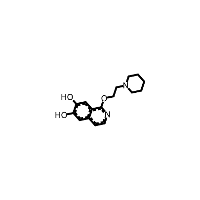 Oc1cc2ccnc(OCCN3CCCCC3)c2cc1O